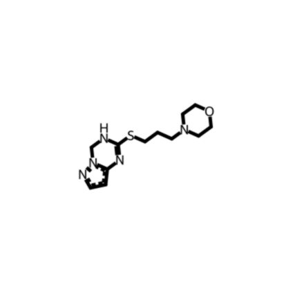 c1cc2n(n1)CNC(SCCCN1CCOCC1)=N2